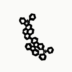 C1=Cc2c(c3c4ccc5ccc(-c6ccc7c(c6)C6(c8ccccc8-c8ccccc86)c6cc(N(c8ccccc8)c8ccccc8)ccc6-7)c6ccc(cc3n2-c2ccccc2)c4c56)CC1